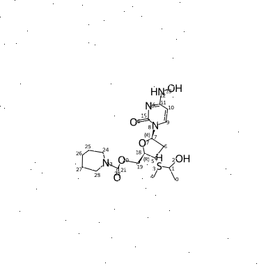 CC(O)[SH](C)C1C[C@H](n2ccc(NO)nc2=O)O[C@@H]1COC(=O)N1CCCCC1